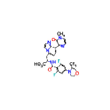 Cn1ccnc(-c2ccc(CC(NC(=O)c3c(F)cc(N4CCOCC4C(F)(F)F)cc3F)C(=O)O)n3ccnc23)c1=O